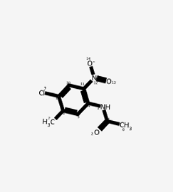 CC(=O)Nc1cc(C)c(Cl)cc1[N+](=O)[O-]